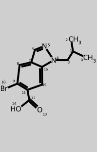 CC(C)Cn1ncc2cc(Br)c(C(=O)O)cc21